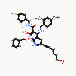 COc1ccc(CNc2c(C(=O)NCc3ccc(F)cc3F)c(=O)n(OCc3ccccc3)c3ncc(C#CCCCCO)cc23)c(OC)c1